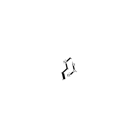 C=CC[Te]C.CCOCC